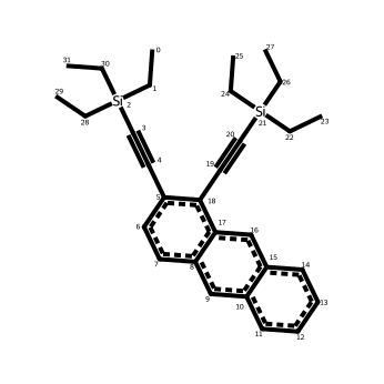 CC[Si](C#Cc1ccc2cc3ccccc3cc2c1C#C[Si](CC)(CC)CC)(CC)CC